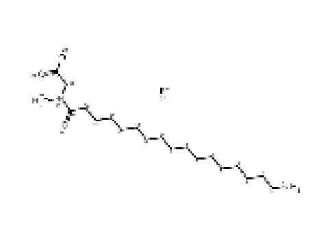 CCCCCCCCCCCCCCCCCC(=O)N(C)CC(=O)[O-].[K+]